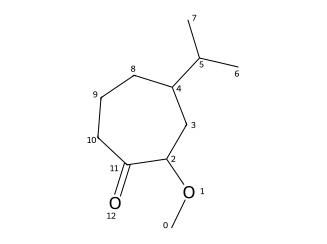 COC1CC(C(C)C)CCCC1=O